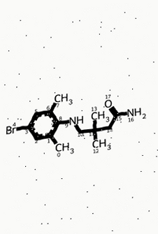 Cc1cc(Br)cc(C)c1NCC(C)(C)CC(N)=O